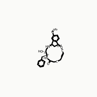 CCCOc1ccc2c(c1)[C@@H]1C[C@H]2OCC=CCCCC(=O)N[C@@H](Cc2ccccc2)[C@H](O)CN1